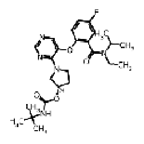 CCN(C(=O)c1cc(F)ccc1Oc1cncnc1N1CC[C@@H](OC(=O)NC(C)(C)C)C1)C(C)C